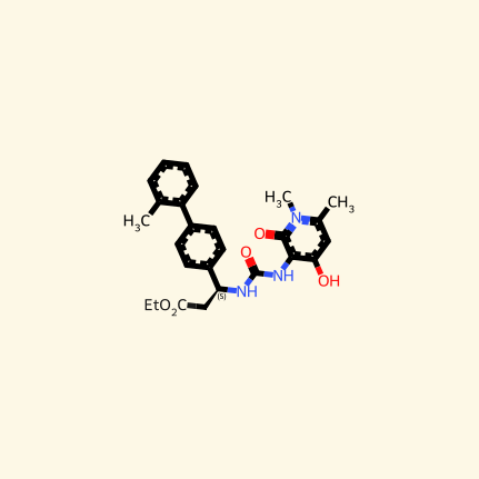 CCOC(=O)C[C@H](NC(=O)Nc1c(O)cc(C)n(C)c1=O)c1ccc(-c2ccccc2C)cc1